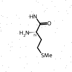 CSCC[C@H](N)C([NH])=O